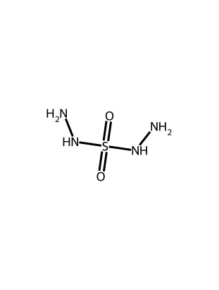 NNS(=O)(=O)NN